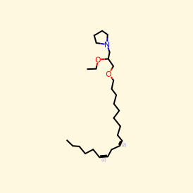 CCCCC/C=C\C/C=C\CCCCCCCCOCC(CN1CCCC1)OCC